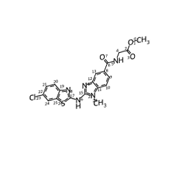 COC(=O)CNC(=O)c1ccc2c(c1)nc(Nc1nc3ccc(Cl)cc3s1)n2C